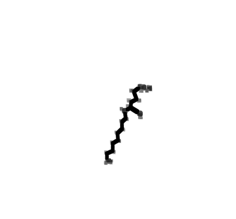 CC(C)CCCCCCCCOC(=O)CCCC(=O)O